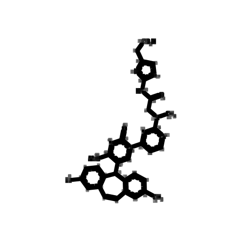 CCc1ccc2c(c1)C=Cc1cc(C)ccc1C2c1cn(-c2ccnc(N(C)CC(=O)Nc3nc(CC(=O)O)cs3)n2)c(=O)nc1SC